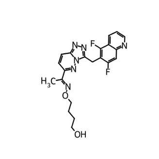 CC(=NOCCCCO)c1ccc2nnc(Cc3c(F)cc4ncccc4c3F)n2n1